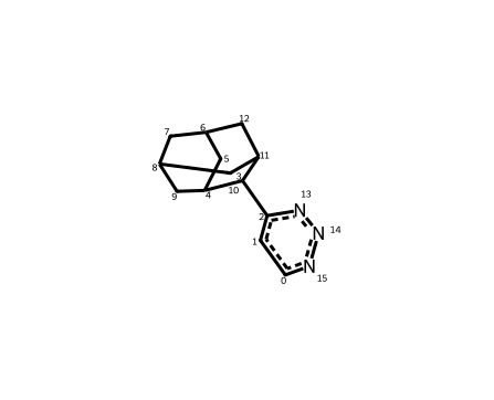 c1cc(C2C3CC4CC(C3)CC2C4)nnn1